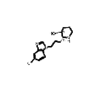 O[C@H]1CCCN[C@@H]1CCCn1cnc2cc(Cl)ccc21